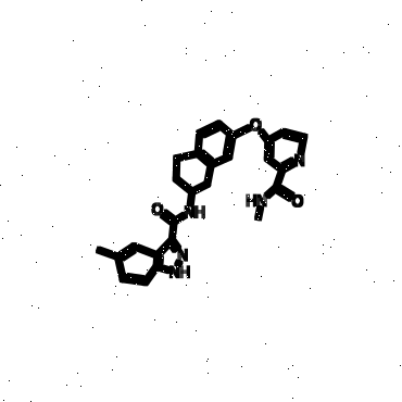 CNC(=O)c1cc(Oc2ccc3c(c2)CC(NC(=O)c2n[nH]c4ccc(C)cc24)CC3)ccn1